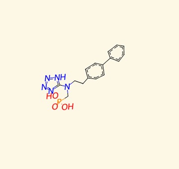 O=P(O)(O)CN(CCc1ccc(-c2ccccc2)cc1)c1nnn[nH]1